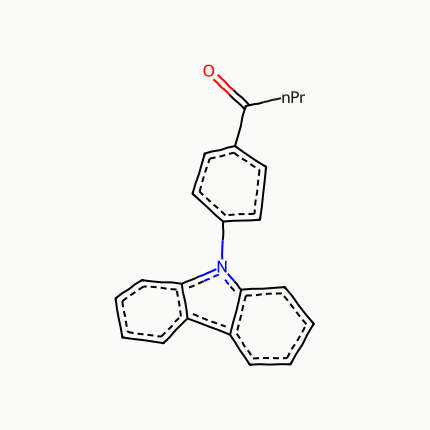 CCCC(=O)c1ccc(-n2c3ccccc3c3ccccc32)cc1